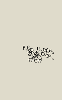 Cc1cc(Nc2ncc(-c3nnc(C(F)(F)F)o3)c(N[C@H](CO)c3ccccc3)n2)ccc1C(=O)N(C)C